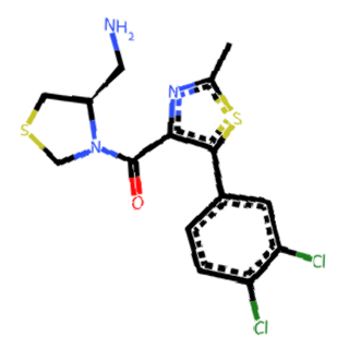 Cc1nc(C(=O)N2CSC[C@H]2CN)c(-c2ccc(Cl)c(Cl)c2)s1